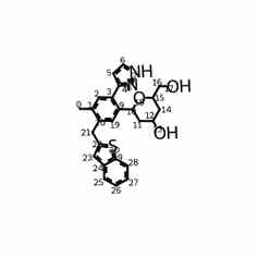 Cc1cc(-c2cc[nH]n2)c(C2CC(O)CC(CO)O2)cc1Cc1cc2ccccc2s1